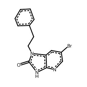 O=c1[nH]c2ncc(Br)cc2n1CCc1ccccc1